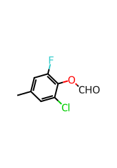 Cc1cc(F)c(OC=O)c(Cl)c1